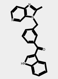 Cc1nc2ccncc2n1Cc1cccc(C(=O)c2c[nH]c3ccccc23)c1